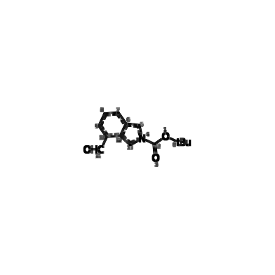 CC(C)(C)OC(=O)n1cc2cccc(C=O)c2c1